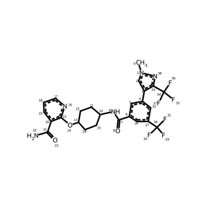 Cn1cc(-c2cc(C(=O)NC3CCC(Oc4ncccc4C(N)=O)CC3)cc(C(F)(F)F)c2)c(C(F)(F)F)n1